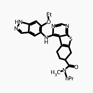 CCCN(C)C(=O)C1CCc2c(sc3ncnc(Nc4cc5cn[nH]c5cc4OCC)c23)C1